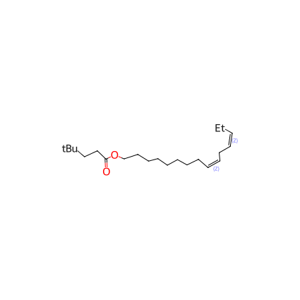 CC/C=C\C/C=C\CCCCCCCCOC(=O)CCC(C)(C)C